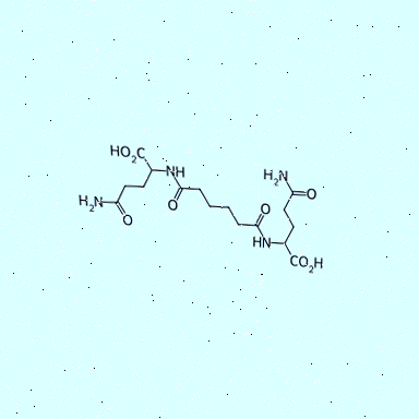 NC(=O)CCC(NC(=O)CCCCC(=O)NC(CCC(N)=O)C(=O)O)C(=O)O